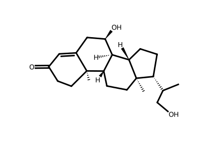 CC(CO)[C@H]1CC[C@H]2[C@@H]3[C@H](O)CC4=CC(=O)CC[C@]4(C)[C@H]3CC[C@]12C